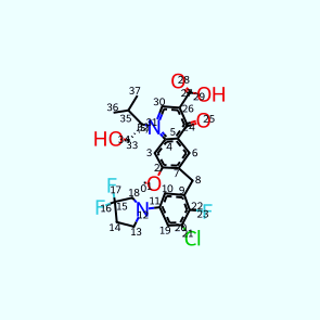 COc1cc2c(cc1Cc1cc(N3CCC(F)(F)C3)cc(Cl)c1F)c(=O)c(C(=O)O)cn2[C@H](CO)C(C)C